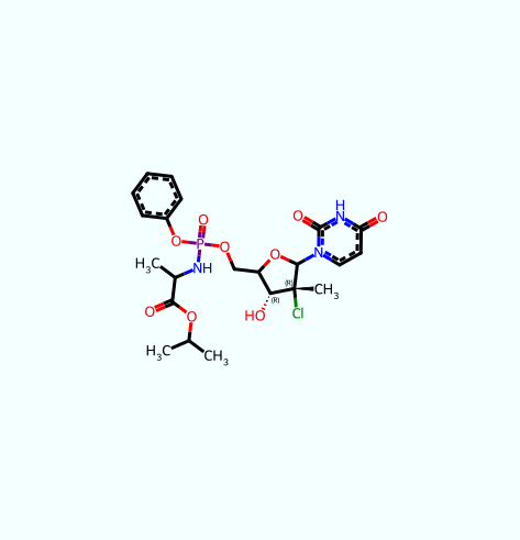 CC(C)OC(=O)C(C)NP(=O)(OCC1OC(n2ccc(=O)[nH]c2=O)[C@](C)(Cl)[C@@H]1O)Oc1ccccc1